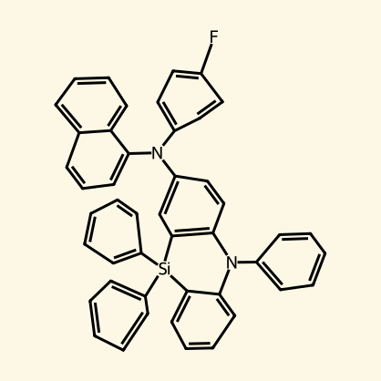 Fc1ccc(N(c2ccc3c(c2)[Si](c2ccccc2)(c2ccccc2)c2ccccc2N3c2ccccc2)c2cccc3ccccc23)cc1